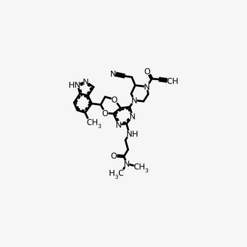 C#CC(=O)N1CCN(c2nc(NCCC(=O)N(C)C)nc3c2OCC(c2c(C)ccc4[nH]ncc24)O3)CC1CC#N